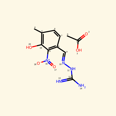 CC(=O)O.Cc1ccc(C=NNC(=N)N)c([N+](=O)[O-])c1O